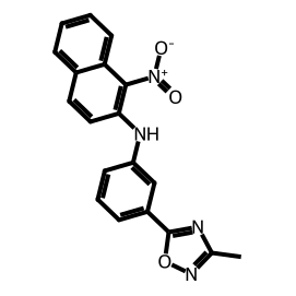 Cc1noc(-c2cccc(Nc3ccc4ccccc4c3[N+](=O)[O-])c2)n1